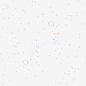 O=C(COS(=O)(=O)C(F)(F)C(=O)NCCCCCCNC(=O)C(F)(F)S(=O)(=O)OCC(=O)c1ccccc1)c1ccccc1